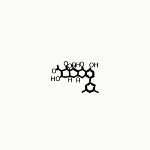 CC(=O)C1=C(O)C[C@H]2C[C@H]3Cc4c(-c5cc(C)cc(C)c5)ccc(O)c4C(=O)C3=C(O)[C@@]2(O)C1=O